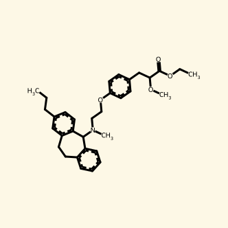 CCCc1ccc2c(c1)CCc1ccccc1C2N(C)CCOc1ccc(CC(OC)C(=O)OCC)cc1